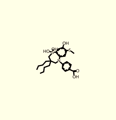 CCCCC1(CCCC)CN(c2ccc(C(=O)O)cc2)c2cc(SC)c(O)cc2S(O)(O)C1